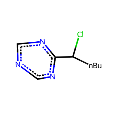 CCCCC(Cl)c1ncncn1